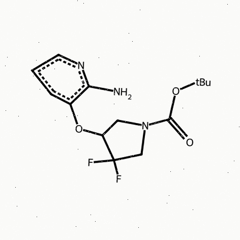 CC(C)(C)OC(=O)N1CC(Oc2cccnc2N)C(F)(F)C1